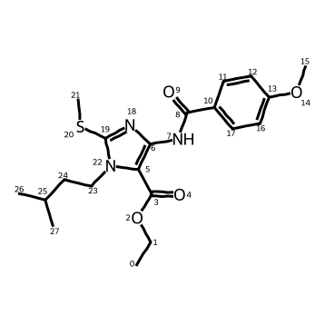 CCOC(=O)c1c(NC(=O)c2ccc(OC)cc2)nc(SC)n1CCC(C)C